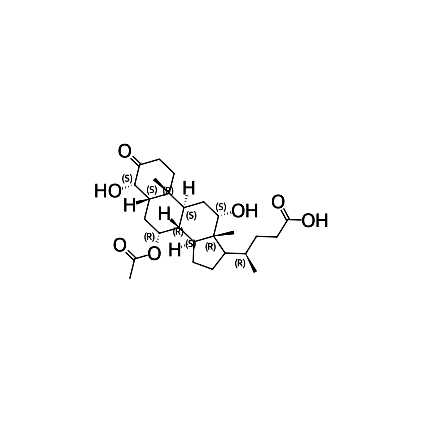 CC(=O)O[C@@H]1C[C@@H]2[C@H](O)C(=O)CC[C@]2(C)[C@H]2C[C@H](O)[C@]3(C)C([C@H](C)CCC(=O)O)CC[C@H]3[C@H]12